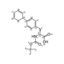 CC(C)(C)OC(=O)N[C@@H](Cc1ccc(C2C=CC=CC2)cc1)C(=O)O